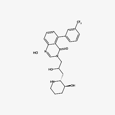 Cl.O=c1c2c(-c3cccc(C(F)(F)F)c3)cccc2ncn1CC(O)C[C@H]1NCCC[C@@H]1O